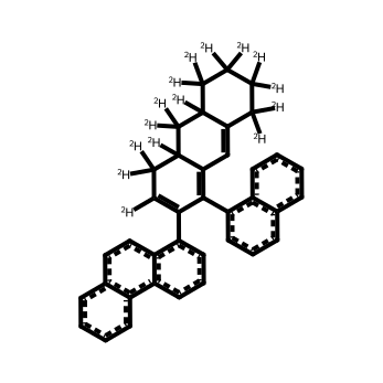 [2H]C1=C(c2cccc3c2ccc2ccccc23)C(c2cccc3ccccc23)=C2C=C3C([2H])([2H])C([2H])([2H])C([2H])([2H])C([2H])([2H])C3([2H])C([2H])([2H])C2([2H])C1([2H])[2H]